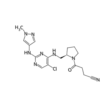 Cn1cc(Nc2ncc(Cl)c(NC[C@H]3CCCN3C(=O)CCC#N)n2)cn1